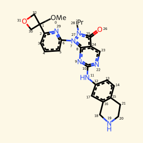 COC1(c2cccc(-n3c4nc(Nc5ccc6c(c5)CNCC6)ncc4c(=O)n3C(C)C)n2)COC1